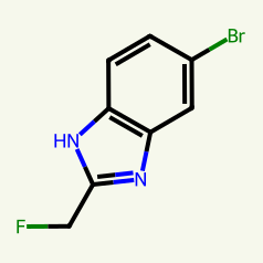 FCc1nc2cc(Br)ccc2[nH]1